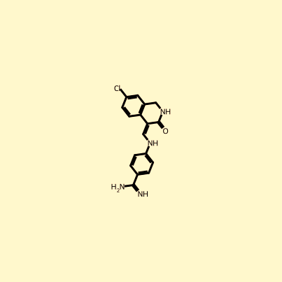 N=C(N)c1ccc(NC=C2C(=O)NCc3cc(Cl)ccc32)cc1